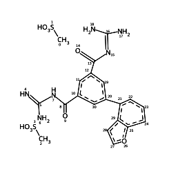 CS(=O)(=O)O.CS(=O)(=O)O.N=C(N)NC(=O)c1cc(C(=O)N=C(N)N)cc(-c2cccc3occc23)c1